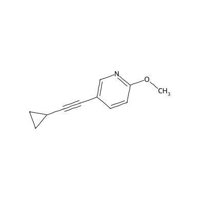 COc1ccc(C#CC2CC2)cn1